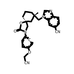 C[C@]1(Cn2cnc3ccc(C#N)cc32)CCC[C@@]2(CN(c3ccc(OCC#N)cc3)C(=O)O2)C1